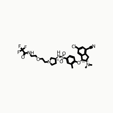 Cc1cc(S(=O)(=O)N[C@H]2CCN(CCOCCNC(=O)C(F)(F)F)C2)ccc1O[C@H]1c2cc(Cl)cc(C#N)c2C[C@@H]1N(C)C